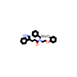 COc1ccccc1OCCN(Cc1ccccc1)C(=O)CCc1c[nH]c2ccccc12